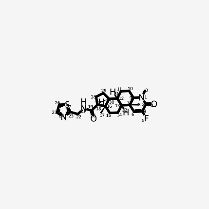 CN1C(=O)C(F)=C[C@@]2(C)C1CC[C@@H]1[C@H]2CC[C@]2(C)C(C(=O)NCc3nccs3)CC[C@@H]12